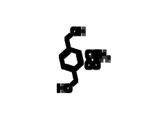 C=O.C=O.OCc1ccc(CO)cc1